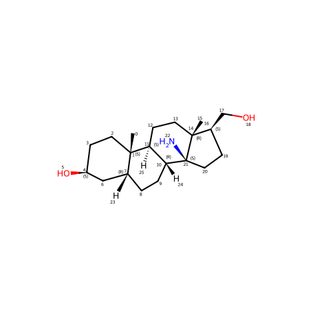 C[C@]12CC[C@H](O)C[C@H]1CC[C@@H]1[C@@H]2CC[C@]2(C)[C@@H](CO)CC[C@]12N